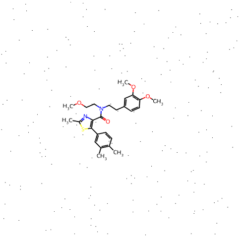 COCCN(CCc1ccc(OC)c(OC)c1)C(=O)c1nc(C)sc1-c1ccc(C)c(C)c1